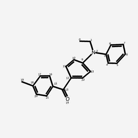 CCN(c1ccccc1)c1ccc(C(=O)c2ccc(C)cc2)cc1